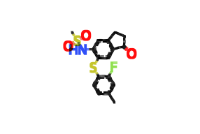 Cc1ccc(Sc2cc3c(cc2NS(C)(=O)=O)CCC3=O)c(F)c1